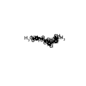 CNC(=O)c1ccc(C=CC(=O)NCC(=O)N(C)c2ccc(Cl)c(COc3cccc4c3nc(C)n4C)c2Cl)cc1